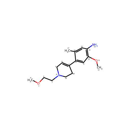 COCCN1CC=C(c2cc(OC)c(N)cc2C)CC1